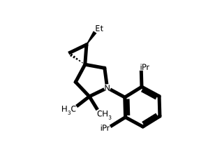 CC[C@@H]1C[C@@]12CN(c1c(C(C)C)cccc1C(C)C)C(C)(C)C2